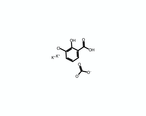 O=C(O)c1cccc(Cl)c1O.O=C([O-])[O-].[K+].[K+]